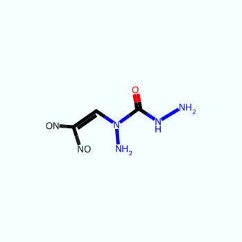 NNC(=O)N(N)C=C(N=O)N=O